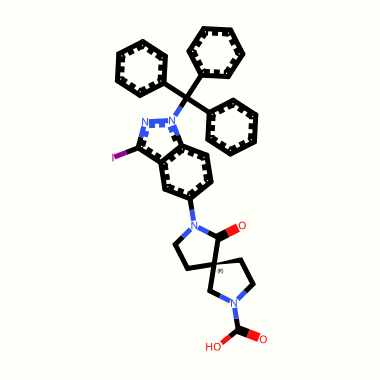 O=C(O)N1CC[C@]2(CCN(c3ccc4c(c3)c(I)nn4C(c3ccccc3)(c3ccccc3)c3ccccc3)C2=O)C1